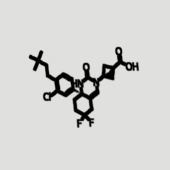 CC(C)(C)CCc1ccc([C@@]23CCC(F)(F)CC2=CN(C24CC(C(=O)O)(C2)C4)C(=O)N3)cc1Cl